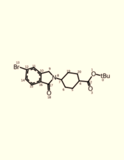 CC(C)(C)OC(=O)C1CCC(N2Cc3cc(Br)ccc3C2=O)CC1